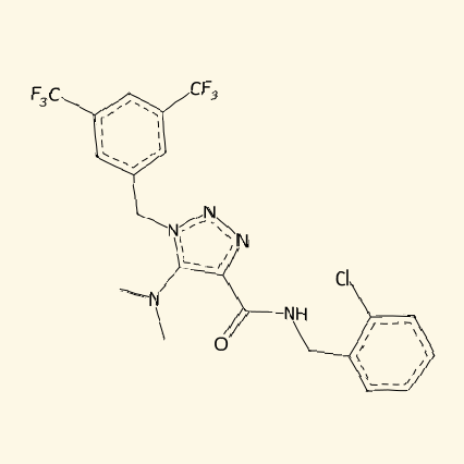 CN(C)c1c(C(=O)NCc2ccccc2Cl)nnn1Cc1cc(C(F)(F)F)cc(C(F)(F)F)c1